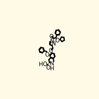 O=C(O)[C@@H]1Cc2c(ccc(OCc3ccn(C(=O)[C@@H](OC4CCCC4)c4ccccc4)n3)c2OCc2ccccc2)CN1